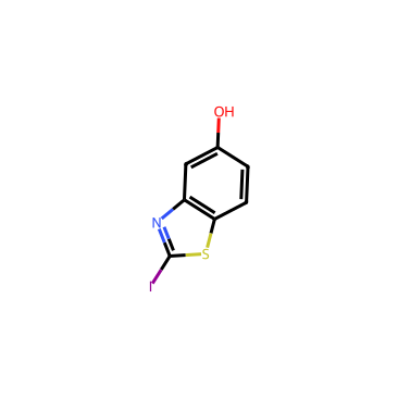 Oc1ccc2sc(I)nc2c1